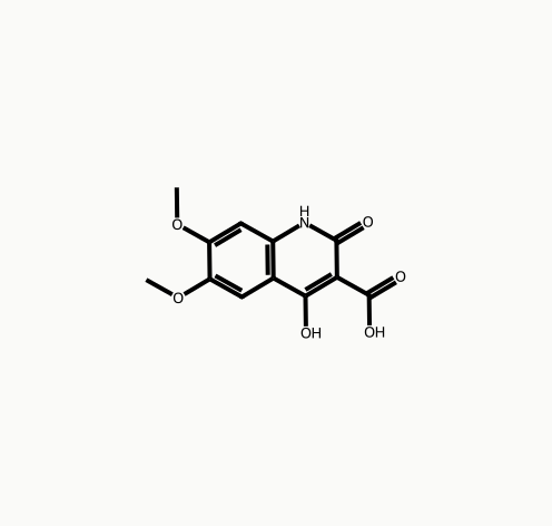 COc1cc2[nH]c(=O)c(C(=O)O)c(O)c2cc1OC